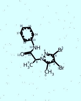 Cc1c(Br)c(Br)nn1C(C)C(=O)Nc1ccccc1